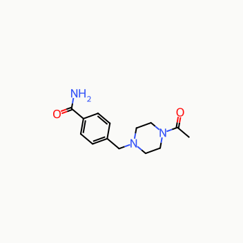 CC(=O)N1CCN(Cc2ccc(C(N)=O)cc2)CC1